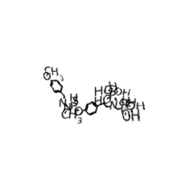 COc1ccc(/C=N/N(C)[PH](=S)Oc2ccc(CCN(C[PH](O)(O)O)C[PH](O)(O)O)cc2)cc1